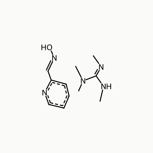 CN=C(NC)N(C)C.ON=Cc1ccccn1